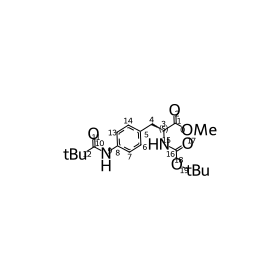 COC(=O)[C@H](Cc1ccc(NC(=O)C(C)(C)C)cc1)NC(=O)OC(C)(C)C